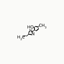 C=CCc1cnc(-c2ccc(C)cc2O)nc1